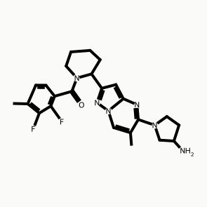 Cc1cn2nc(C3CCCCN3C(=O)c3ccc(C)c(F)c3F)cc2nc1N1CCC(N)C1